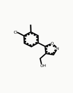 Cc1cc(-c2oncc2CO)ccc1Cl